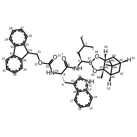 CC(C)C[C@H](NC(=O)[C@H](Cc1c[nH]c2ccccc12)NC(=O)OCC1c2ccccc2-c2ccccc21)B1O[C@@H]2C[C@@H]3C[C@@H](C3(C)C)[C@]2(C)O1